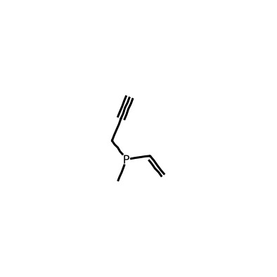 C#CCP(C)C=C